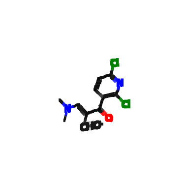 CN(C)C=C([C]=O)C(=O)c1ccc(Cl)nc1Cl